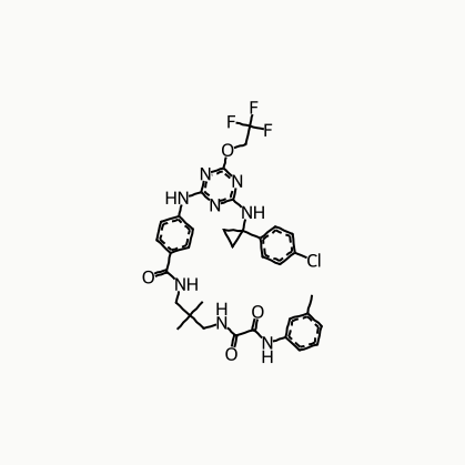 Cc1cccc(NC(=O)C(=O)NCC(C)(C)CNC(=O)c2ccc(Nc3nc(NC4(c5ccc(Cl)cc5)CC4)nc(OCC(F)(F)F)n3)cc2)c1